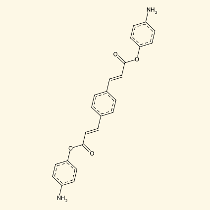 Nc1ccc(OC(=O)C=Cc2ccc(C=CC(=O)Oc3ccc(N)cc3)cc2)cc1